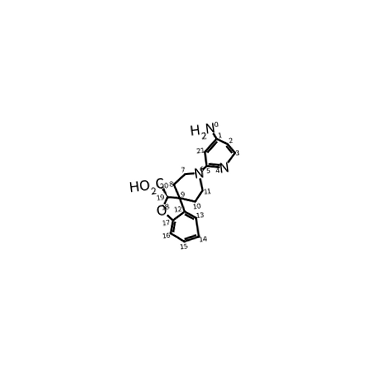 Nc1ccnc(N2CCC3(CC2)c2ccccc2O[C@H]3C(=O)O)c1